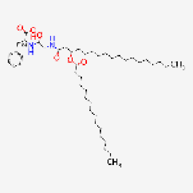 CCCCCCCCCCCCCCCC(=O)OC(CCCCCCCCCCCCCCC)CC(=O)NCC(=O)N[C@@H](Cc1ccccc1)C(=O)O